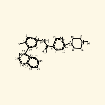 Cc1ccc(NC(=O)c2ccc(N3CCN(C)CC3)nc2)cc1-c1ncnc2ccccc12